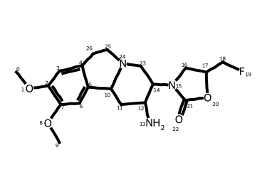 COc1cc2c(cc1OC)C1CC(N)C(N3CC(CF)OC3=O)CN1CC2